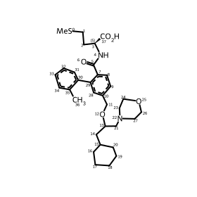 CSCC[C@H](NC(=O)c1ccc(COC(CC2CCCCC2)CN2CCOCC2)cc1-c1ccccc1C)C(=O)O